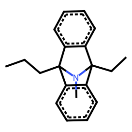 CCCC12c3ccccc3C(CC)(c3ccccc31)N2C